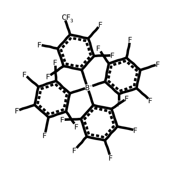 Fc1c(F)c(F)c([B-](c2c(F)c(F)c(F)c(F)c2F)(c2c(F)c(F)c(F)c(F)c2F)c2c(F)c(F)c(C(F)(F)F)c(F)c2F)c(F)c1F